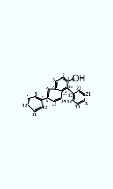 Oc1ccc2cc(-c3ccccc3)ccc2c1-c1ccccc1